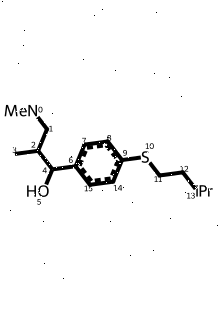 CNCC(C)C(O)c1ccc(SCCC(C)C)cc1